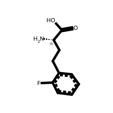 N[C@@H](CCc1ccccc1F)C(=O)O